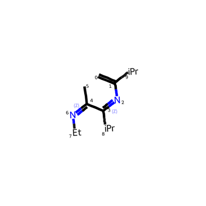 C=C(/N=C(\C(C)=N/CC)C(C)C)C(C)C